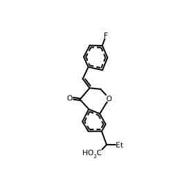 CCC(C(=O)O)c1ccc2c(c1)OC/C(=C\c1ccc(F)cc1)C2=O